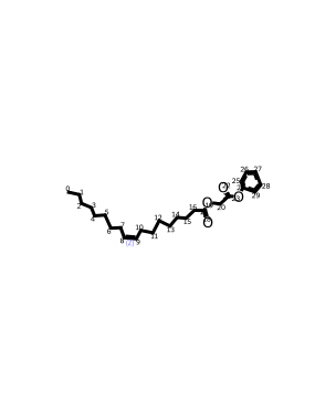 CCCCCCCC/C=C\CCCCCCCC(=O)OCC(=O)Oc1ccccc1